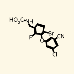 N#Cc1cc(Cl)cc(Oc2c(Br)ccc(CNC(=O)O)c2F)c1